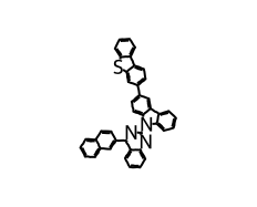 c1ccc2cc(-c3nc(-n4c5ccccc5c5cc(-c6ccc7c(c6)sc6ccccc67)ccc54)nc4ccccc34)ccc2c1